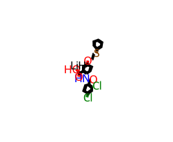 O=C(Nc1ccc(OCCSc2ccccc2)cc1C(=O)O)c1ccc(Cl)cc1Cl.[LiH]